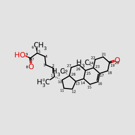 CC(CCC[C@H](C)C(=O)O)[C@H]1CCC2C3CC=C4CC(=O)CC[C@]4(C)C3CC[C@@]21C